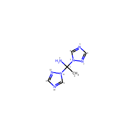 CC(N)(n1cncn1)n1cncn1